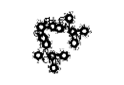 Cc1ccccc1N(c1ccc2cc3c(cc2c1)oc1ccc2oc4cc5cc(N(c6cc7c8ccccc8n8c9ccccc9c(c6)c78)c6ccccc6C)ccc5cc4c2c13)c1cc2c3ccccc3n3c4ccccc4c(c1)c23